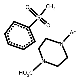 CC(=O)N1CCN(C(=O)O)CC1.CS(=O)(=O)c1ccccc1